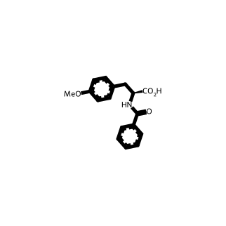 COc1ccc(C[C@H](NC(=O)c2ccccc2)C(=O)O)cc1